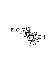 CCOC(=O)c1oc2c(c1C(F)(F)F)C(=O)/C(=C\O)C(C)(C)C2